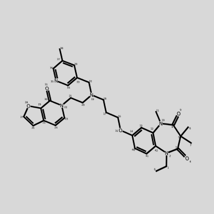 CCN1C(=O)C(C)(C)C(=O)N(C)c2cc(OCCCN(CCn3ccc4ccoc4c3=O)Cc3cncc(C)c3)ccc21